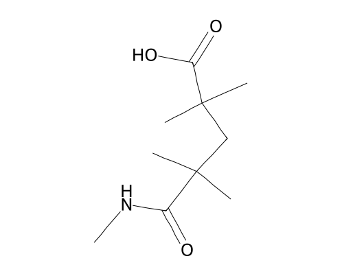 CNC(=O)C(C)(C)CC(C)(C)C(=O)O